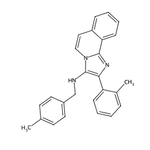 Cc1ccc(CNc2c(-c3ccccc3C)nc3c4ccccc4ccn23)cc1